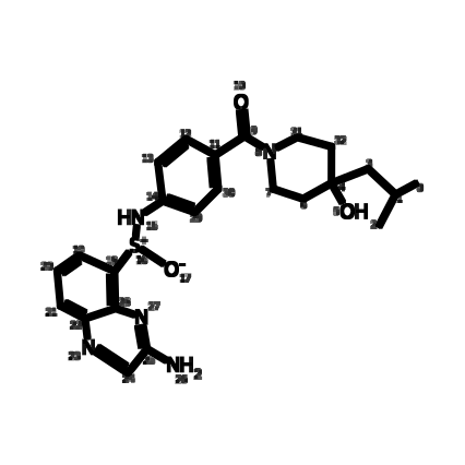 CC(C)CC1(O)CCN(C(=O)c2ccc(N[S+]([O-])c3cccc4ncc(N)nc34)cc2)CC1